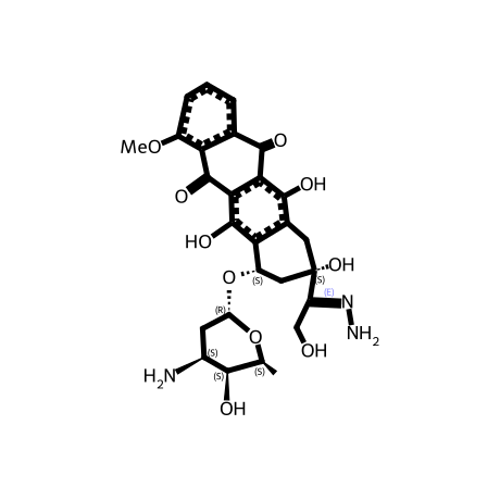 COc1cccc2c1C(=O)c1c(O)c3c(c(O)c1C2=O)C[C@@](O)(/C(CO)=N/N)C[C@@H]3O[C@H]1C[C@H](N)[C@H](O)[C@H](C)O1